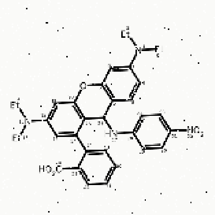 CCN(CC)c1ccc2c(c1)Oc1cc(N(CC)CC)cc(-c3ccccc3C(=O)O)c1C2Nc1ccc([N+](=O)[O-])cc1